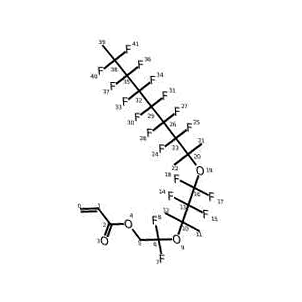 C=CC(=O)OCC(F)(F)OC(C)(C)C(F)(F)C(F)(F)OC(C)(C)C(F)(F)C(F)(F)C(F)(F)C(F)(F)C(F)(F)C(C)(F)F